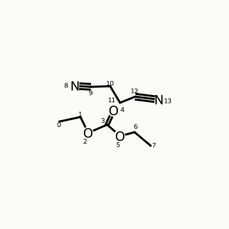 CCOC(=O)OCC.N#CCCC#N